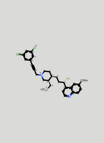 COc1ccc2nccc([C@@H](F)CC[C@@H]3CCN(CC#Cc4cc(Cl)cc(Cl)c4)C[C@@H]3CC(=O)O)c2c1